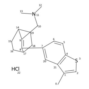 Cc1csc2ccc(C3=C(CN(C)C)C4CCC3CC4)cc12.Cl